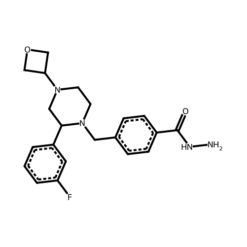 NNC(=O)c1ccc(CN2CCN(C3COC3)CC2c2cccc(F)c2)cc1